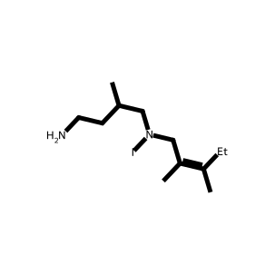 CC/C(C)=C(/C)CN(I)CC(C)CCN